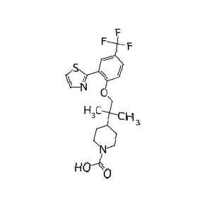 CC(C)(COc1ccc(C(F)(F)F)cc1-c1nccs1)C1CCN(C(=O)O)CC1